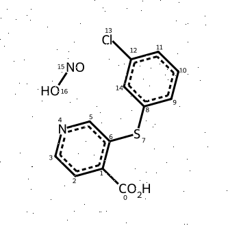 O=C(O)c1ccncc1Sc1cccc(Cl)c1.O=NO